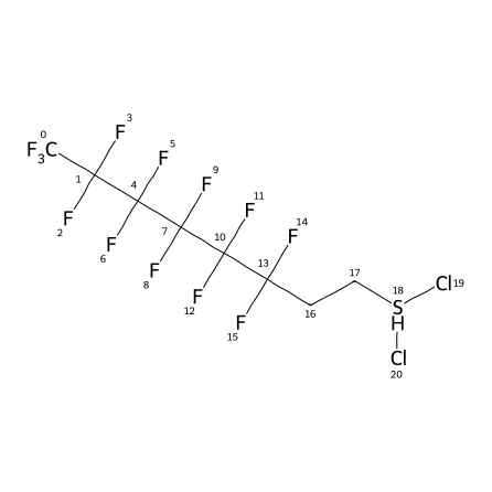 FC(F)(F)C(F)(F)C(F)(F)C(F)(F)C(F)(F)C(F)(F)CC[SH](Cl)Cl